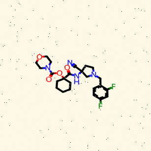 N#CC1(NC(=O)C2(OC(=O)N3CCOCC3)CCCCC2)CCN(Cc2ccc(F)cc2F)C1